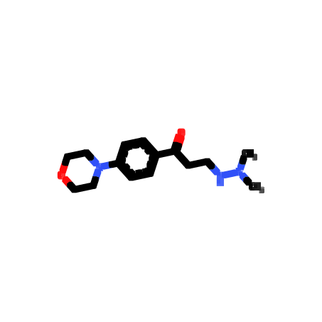 CN(C)NCCC(=O)c1ccc(N2CCOCC2)cc1